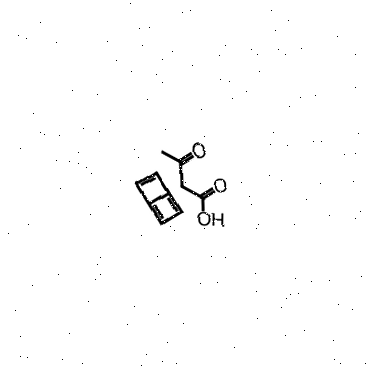 CC(=O)CC(=O)O.c1cc2ccc1-2